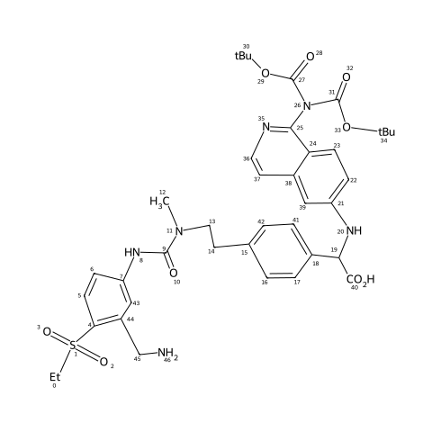 CCS(=O)(=O)c1ccc(NC(=O)N(C)CCc2ccc(C(Nc3ccc4c(N(C(=O)OC(C)(C)C)C(=O)OC(C)(C)C)nccc4c3)C(=O)O)cc2)cc1CN